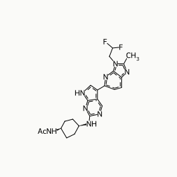 CC(=O)N[C@H]1CC[C@@H](Nc2ncc3c(-c4ccc5nc(C)n(CC(F)F)c5n4)c[nH]c3n2)CC1